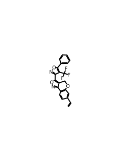 C=Cc1ccc2c(c1)OCc1c-2noc1-c1noc(-c2ccccc2)c1C(F)(F)F